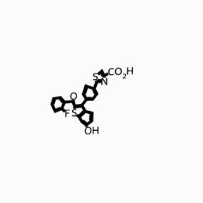 O=C(O)c1csc(-c2ccc(-c3c(C(=O)c4ccccc4F)sc4cc(O)ccc34)cc2)n1